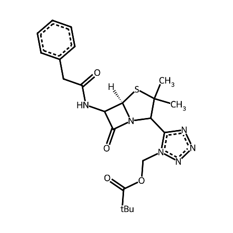 CC(C)(C)C(=O)OCn1nnnc1C1N2C(=O)C(NC(=O)Cc3ccccc3)[C@H]2SC1(C)C